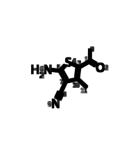 CC(=O)c1sc(N)c(C#N)c1C